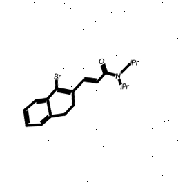 CC(C)N(C(=O)C=CC1=C(Br)c2ccccc2CC1)C(C)C